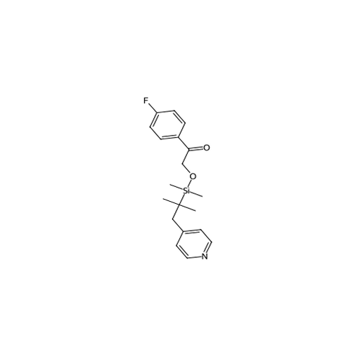 CC(C)(Cc1ccncc1)[Si](C)(C)OCC(=O)c1ccc(F)cc1